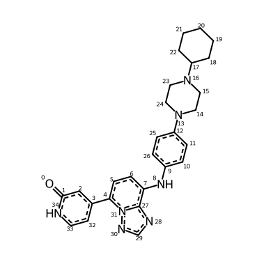 O=c1cc(-c2ccc(Nc3ccc(N4CCN(C5CCCCC5)CC4)cc3)c3ncnn23)cc[nH]1